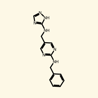 c1ccc(CNc2ncc(CNc3ncn[nH]3)cn2)cc1